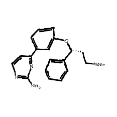 CNCC[C@@H](Oc1cccc(-c2ccnc(N)n2)c1)c1ccccc1